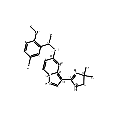 COc1ccc(F)cc1[C@@H](C)Nc1ccn2ncc(C3=NC(C)(C)CN3)c2n1